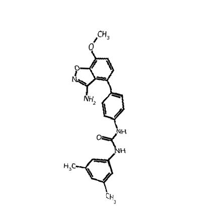 COc1ccc(-c2ccc(NC(=O)Nc3cc(C)cc(C)c3)cc2)c2c(N)noc12